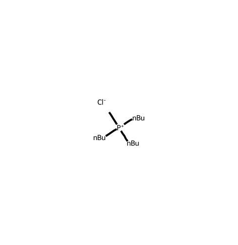 CCCC[P+](C)(CCCC)CCCC.[Cl-]